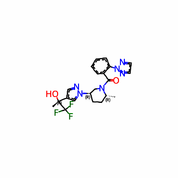 C[C@@H]1CC[C@@H](n2cc([C@@](C)(O)C(F)(F)F)cn2)CN1C(=O)c1ccccc1-n1nccn1